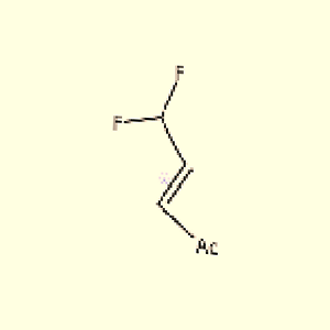 CC(=O)/C=C/C(F)F